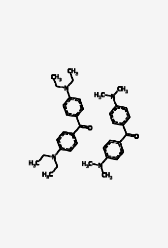 CCN(CC)c1ccc(C(=O)c2ccc(N(CC)CC)cc2)cc1.CN(C)c1ccc(C(=O)c2ccc(N(C)C)cc2)cc1